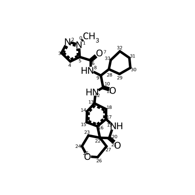 Cn1nccc1C(=O)NC(C(=O)Nc1ccc2c(c1)NC(=O)C21CCOCC1)C1CCCCC1